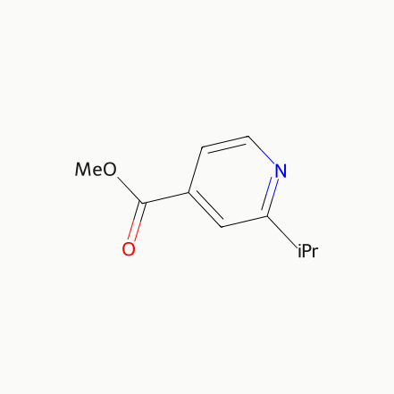 COC(=O)c1ccnc(C(C)C)c1